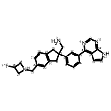 NCC1(c2cccc(-c3ncnc4[nH]ccc34)c2)Cc2ccc(CN3CC(F)C3)cc2C1